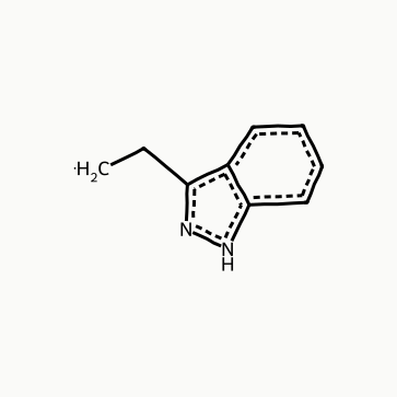 [CH2]Cc1n[nH]c2ccccc12